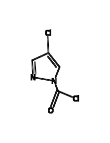 O=C(Cl)n1cc(Cl)cn1